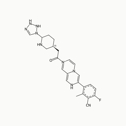 Cc1c(C2=CN3C=C[N+](C(=O)C[C@@H]4CCC(N5C=NNN5)NC4)=CC3=CN2)ccc(F)c1C#N